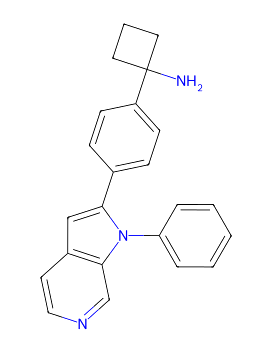 NC1(c2ccc(-c3cc4ccncc4n3-c3ccccc3)cc2)CCC1